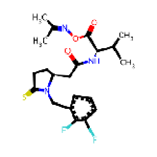 CC(C)=NOC(=O)[C@@H](NC(=O)C[C@@H]1CCC(=S)N1Cc1cccc(F)c1F)C(C)C